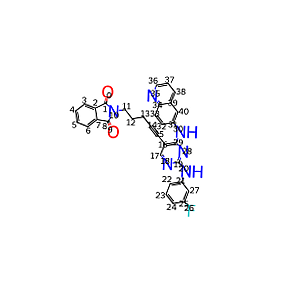 O=C1c2ccccc2C(=O)N1CCCC#Cc1cnc(Nc2cccc(F)c2)nc1Nc1ccc2ncccc2c1